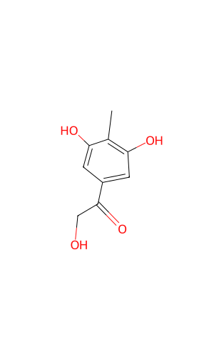 Cc1c(O)cc(C(=O)CO)cc1O